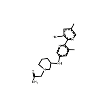 Cc1cnc(-c2nnc(NC3CCCN(CC(N)=O)C3)cc2C)c(O)c1